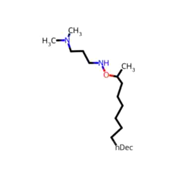 CCCCCCCCCCCCCCCCC(C)ONCCCN(C)C